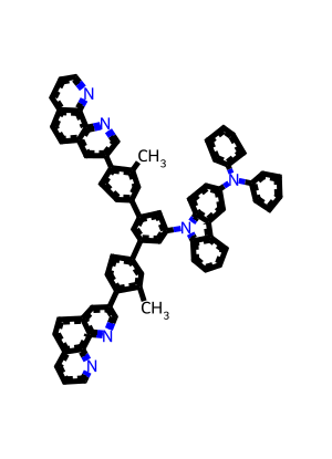 Cc1cc(-c2cc(-c3ccc(-c4cnc5c(ccc6cccnc65)c4)c(C)c3)cc(-n3c4ccccc4c4cc(N(c5ccccc5)c5ccccc5)ccc43)c2)ccc1-c1cnc2c(ccc3cccnc32)c1